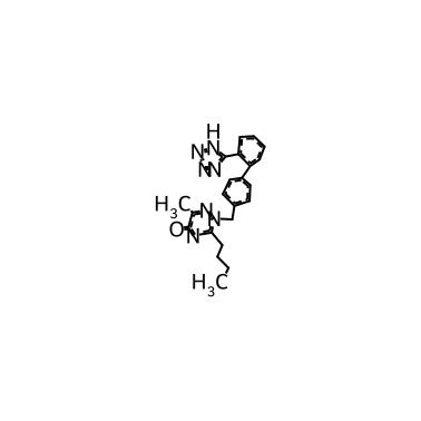 CCCCc1nc(=O)c(C)nn1Cc1ccc(-c2ccccc2-c2nnn[nH]2)cc1